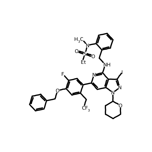 CCS(=O)(=O)N(C)c1ccccc1CNc1nc(-c2cc(F)c(OCc3ccccc3)cc2CC(F)(F)F)cc2c1c(I)nn2C1CCCCO1